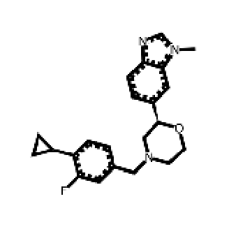 Cn1cnc2ccc([C@@H]3CN(Cc4ccc(C5CC5)c(F)c4)CCO3)cc21